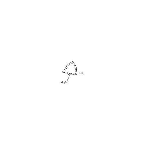 CNc1ncccn1.P